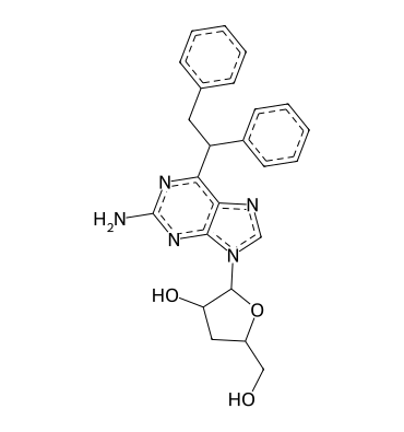 Nc1nc(C(Cc2ccccc2)c2ccccc2)c2ncn(C3OC(CO)CC3O)c2n1